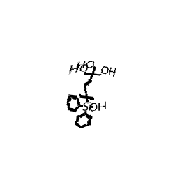 CC(C)(CCC(CO)(CO)CO)[Si](O)(c1ccccc1)c1ccccc1